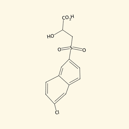 O=C(O)C(O)CS(=O)(=O)c1ccc2cc(Cl)ccc2c1